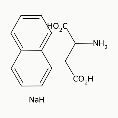 NC(CC(=O)O)C(=O)O.[NaH].c1ccc2ccccc2c1